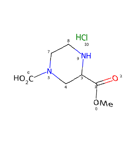 COC(=O)C1CN(C(=O)O)CCN1.Cl